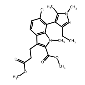 CCc1nn(C)c(C)c1-c1c(Cl)ccc2c(CCC(=O)OC)c(C(=O)OC)n(C)c12